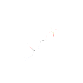 NCC(=O)NCCOS(=O)(O)=S